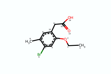 CCOc1cc(Br)c(C)cc1CC(=O)O